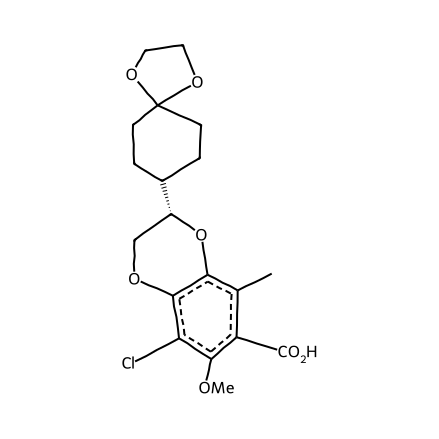 COc1c(Cl)c2c(c(C)c1C(=O)O)O[C@@H](C1CCC3(CC1)OCCO3)CO2